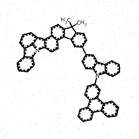 CC1(C)c2ccc(-c3ccc4c(c3)c3ccccc3n4-c3ccc4c5ccccc5c5ccccc5c4c3)cc2-c2c1ccc1c2ccc2c1c1cccc3c4ccccc4n2c31